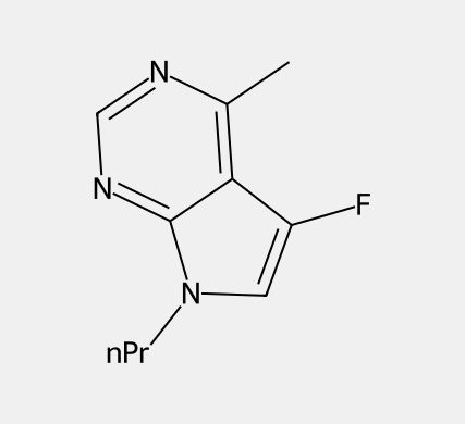 CCCn1cc(F)c2c(C)ncnc21